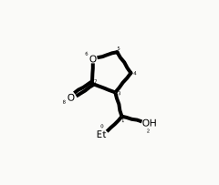 CCC(O)C1CCOC1=O